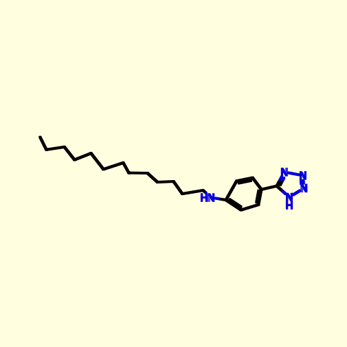 CCCCCCCCCCCCCNc1ccc(-c2nnn[nH]2)cc1